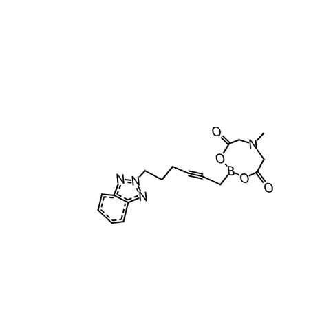 CN1CC(=O)OB(CC#CCCCn2nc3ccccc3n2)OC(=O)C1